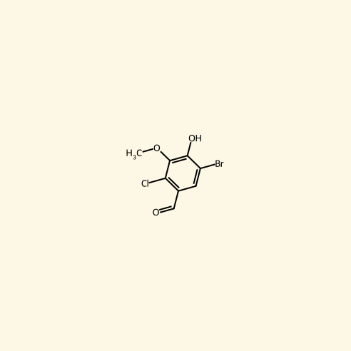 COc1c(O)c(Br)cc(C=O)c1Cl